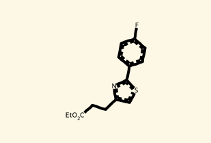 CCOC(=O)CCc1csc(-c2ccc(F)cc2)n1